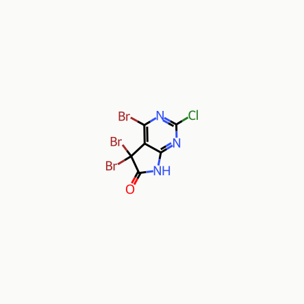 O=C1Nc2nc(Cl)nc(Br)c2C1(Br)Br